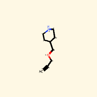 C#CCOCC1CCNCC1